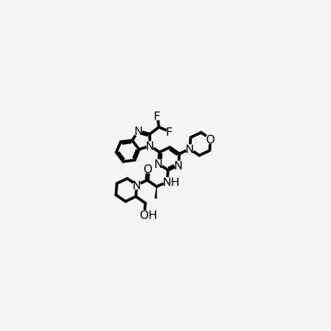 C[C@H](Nc1nc(N2CCOCC2)cc(-n2c(C(F)F)nc3ccccc32)n1)C(=O)N1CCCCC1CO